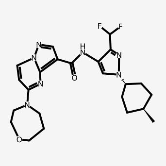 C[C@H]1CC[C@H](n2cc(NC(=O)c3cnn4ccc(N5CCCOCC5)nc34)c(C(F)F)n2)CC1